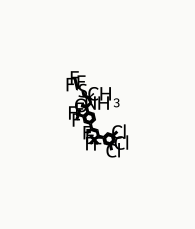 C[C@H](CSCC(F)(F)F)NC(=O)c1ccc(/C(F)=C/C(c2cc(Cl)c(Cl)c(Cl)c2)C(F)(F)F)cc1C(F)(F)F